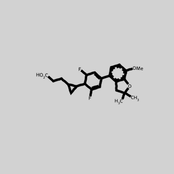 COc1ccc(C2=CC(F)C(C3CC3CCC(=O)O)C(F)=C2)c2c1OC(C)(C)C2